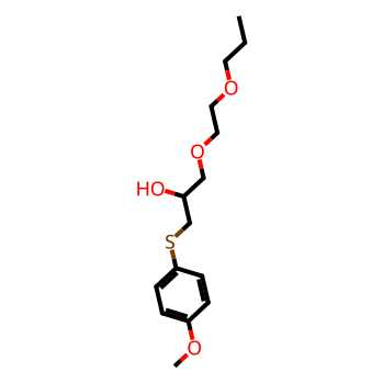 CCCOCCOCC(O)CSc1ccc(OC)cc1